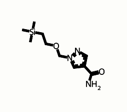 C[Si](C)(C)CCOCn1cc(C(N)=O)cn1